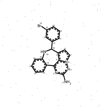 Nc1nc2c3c(ccn3n1)C(c1cccc(Br)c1)Nc1ccccc1-2